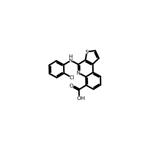 O=C(O)c1cccc2c1nc(Nc1ccccc1Cl)c1sccc12